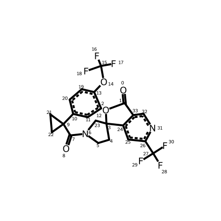 O=C1OC2(CCN(C(=O)C3(c4ccc(OC(F)(F)F)cc4)CC3)C2)c2cc(C(F)(F)F)ncc21